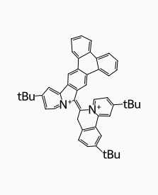 CC(C)(C)c1ccc2c(c1)-c1cc(C(C)(C)C)cc[n+]1/C(=C1\c3cc4c5ccccc5c5ccccc5c4cc3-c3cc(C(C)(C)C)cc[n+]31)C2